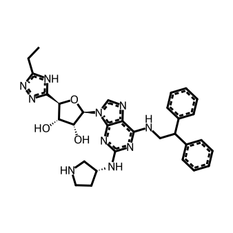 CCc1nnc([C@H]2O[C@@H](n3cnc4c(NCC(c5ccccc5)c5ccccc5)nc(N[C@@H]5CCNC5)nc43)[C@H](O)[C@@H]2O)[nH]1